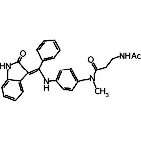 CC(=O)NCCC(=O)N(C)c1ccc(NC(=C2C(=O)Nc3ccccc32)c2ccccc2)cc1